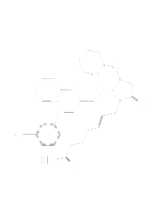 O=C(O)CCCC=CCC1C(=O)CC(OC2CCCCO2)C1OCC(COc1cccc(Cl)c1)OC1CCCCO1